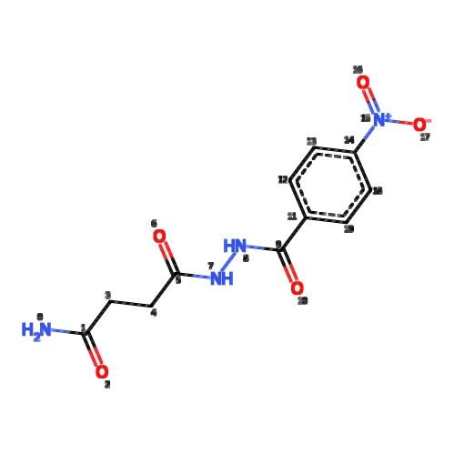 NC(=O)CCC(=O)NNC(=O)c1ccc([N+](=O)[O-])cc1